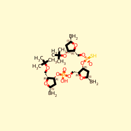 B[C@H]1C[C@@H](OC(C)(C)C)[C@@H](COP(=O)(S)O[C@@H]2C[C@H](B)O[C@@H]2COP(=O)(O)O[C@@H]2C[C@H](B)O[C@@H]2COC(C)(C)C)O1